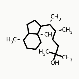 C[C@H](CCC(C)(C)O)[C@@H](C)C1CCC2[C@@H](C)CCC[C@@]21C